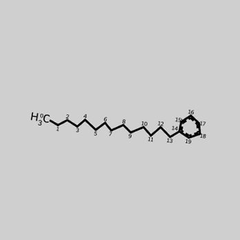 CCCCCCCCCCCCCCc1[c]cccc1